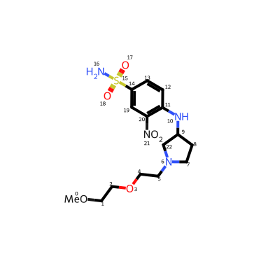 COCCOCCN1CCC(Nc2ccc(S(N)(=O)=O)cc2[N+](=O)[O-])C1